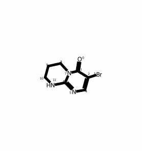 O=c1c(Br)cnc2n1CCCN2